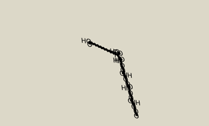 O=CCOCCOCCNC(=O)COCCOCCNC(=O)COCCOCCNC(=O)COCCOCCNC(=O)CC[C@H](NC(=O)CCCCCCCCCCCCCCCCC(=O)O)C(=O)O